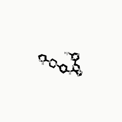 Nc1cncc(-c2cn3ncnc3c(Nc3ccc(N4CCN(C5=CC=CON5)CC4)cc3)n2)n1